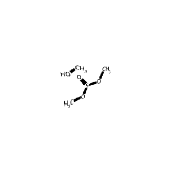 CO.COS(=O)OC